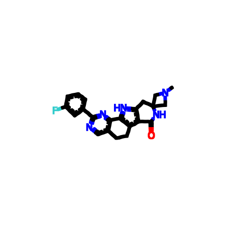 CN1CC2(Cc3[nH]c4c(c3C(=O)N2)CCc2cnc(-c3cccc(F)c3)nc2-4)C1